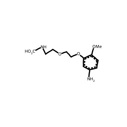 COc1ccc(N)cc1OCCOCCNC(=O)O